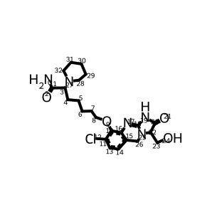 NC(=O)C(CCCCCOc1c(Cl)ccc2c1N=C1NC(=O)C(CO)N1C2)N1CCCCC1